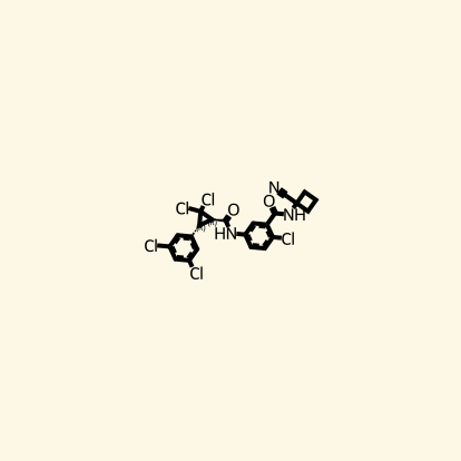 N#CC1(NC(=O)c2cc(NC(=O)[C@H]3[C@H](c4cc(Cl)cc(Cl)c4)C3(Cl)Cl)ccc2Cl)CCC1